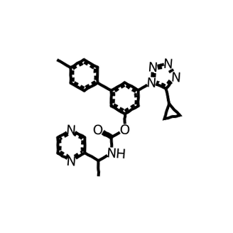 Cc1ccc(-c2cc(OC(=O)NC(C)c3cnccn3)cc(-n3nnnc3C3CC3)c2)cc1